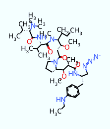 CCNc1ccc(C[C@@H](CN=[N+]=[N-])NC(=O)[C@H](C)[C@@H](OC)[C@@H]2CCCN2C(=O)C[C@@H](OC)[C@H]([C@@H](C)CC)N(C)C(=O)[C@@H](NC(=O)[C@H](C(C)C)N(C)C)C(C)C)cc1